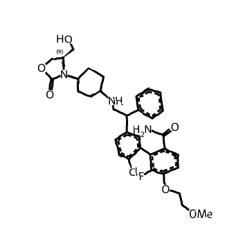 COCCOc1ccc(C(N)=O)c(-c2cc(C(CNC3CCC(N4C(=O)OC[C@H]4CO)CC3)c3ccccc3)ccc2Cl)c1F